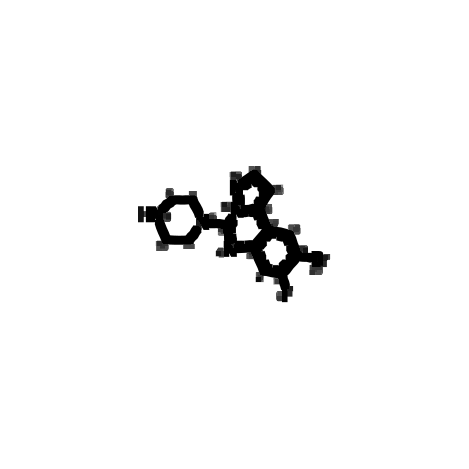 Fc1cc2nc(N3CCNCC3)n3nccc3c2cc1Br